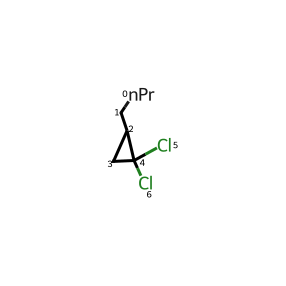 [CH2]CCCC1CC1(Cl)Cl